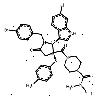 Cc1ccc(S[C@@]2(C(=O)N3CCN(C(=O)N(C)C)CC3)CC(=O)N(Cc3ccc(Br)cc3)[C@H]2c2c[nH]c3cc(Cl)ccc23)cc1